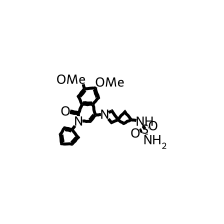 COc1cc2c(N3CC4(CC(NS(N)(=O)=O)C4)C3)cn(-c3ccccc3)c(=O)c2cc1OC